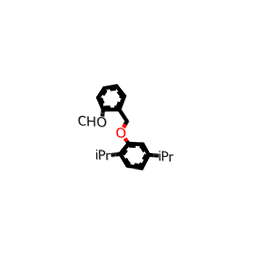 CC(C)c1ccc(C(C)C)c(OCc2ccccc2C=O)c1